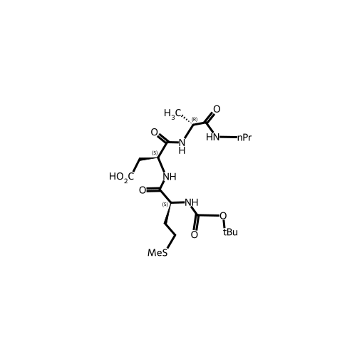 CCCNC(=O)[C@@H](C)NC(=O)[C@H](CC(=O)O)NC(=O)[C@H](CCSC)NC(=O)OC(C)(C)C